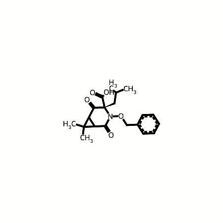 CC(C)C[C@]1(C(=O)O)C(=O)C2C(C(=O)N1OCc1ccccc1)C2(C)C